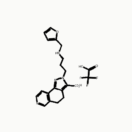 O=C(O)C(F)(F)F.O=C(O)c1c2c(nn1CCCNCc1ccco1)-c1ccncc1CC2